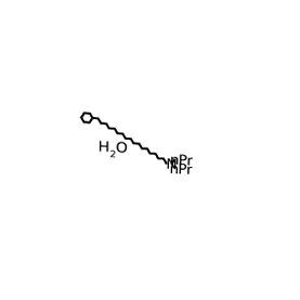 CCCN(CCC)CCCCCCCCCCCCCCCCCCC1CCCCC1.O